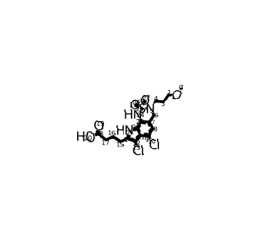 COCCCN1Cc2cc(Cl)c3c(Cl)c(CCCC(=O)O)[nH]c3c2NS1(=O)=O